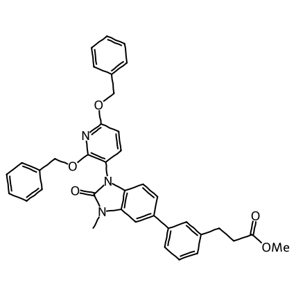 COC(=O)CCc1cccc(-c2ccc3c(c2)n(C)c(=O)n3-c2ccc(OCc3ccccc3)nc2OCc2ccccc2)c1